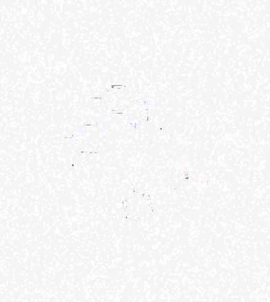 CN1CN(c2c(F)cc(Cl)c3[nH]c(C(F)(F)F)nc23)C=CC1C(F)(F)F.O=C(O)COc1ccc(Cl)cc1Cl